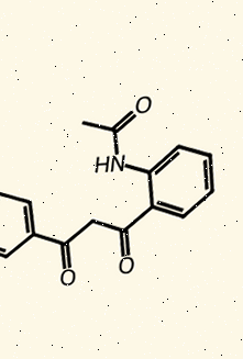 CC(=O)Nc1ccccc1C(=O)CC(=O)c1ccccc1